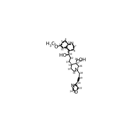 COc1ccc2nccc(C(O)CC[C@@H]3CCN(CC#Cc4cocn4)C[C@@H]3CO)c2c1